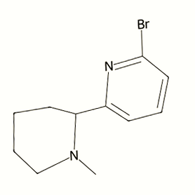 CN1CCCCC1c1cccc(Br)n1